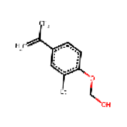 C=C(c1ccc(OCO)c(CC)c1)C(F)(F)F